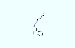 CC(=C/C=C/C(C)=C/C(=O)O)/C=C1\CCOc2ccccc21